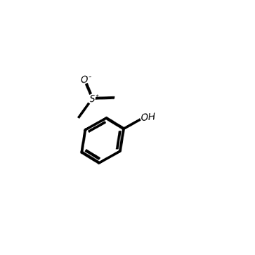 C[S+](C)[O-].Oc1ccccc1